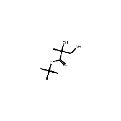 CC(C)(C)OC(=O)C(C)(O)CO